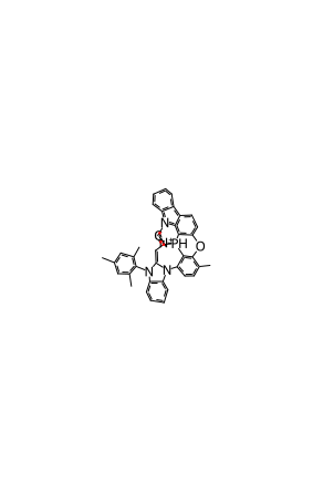 Cc1cc(C)c(N2C3=CC[PH]45c6c(ccc(C)c6Oc6ccc7c8ccccc8n(c7c64)-c4cccc[n+]45)N3c3ccccc32)c(C)c1